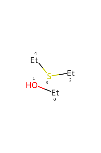 CCO.CCSCC